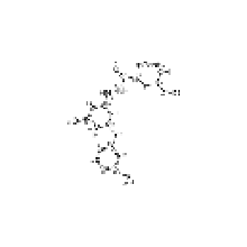 CCCCC[C@H](CN(O)C=O)C(=O)NNc1cc(Cc2cccc(C(F)(F)F)c2)[nH]c(=O)c1